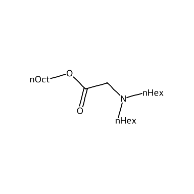 CCCCCCCCOC(=O)CN(CCCCCC)CCCCCC